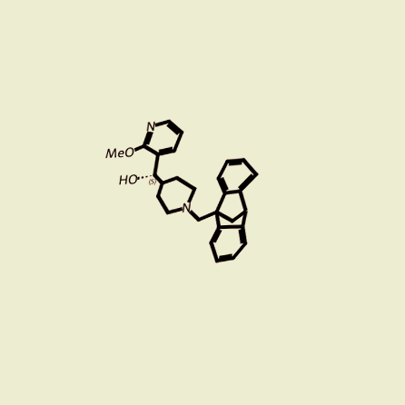 COc1ncccc1[C@@H](O)C1CCN(CC23CC(c4ccccc42)c2ccccc23)CC1